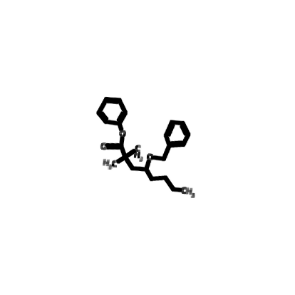 CCCCC(CC(C)(C)C(=O)Oc1ccccc1)OCc1ccccc1